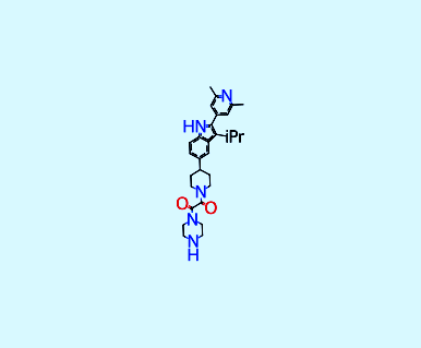 Cc1cc(-c2[nH]c3ccc(C4CCN(C(=O)C(=O)N5CCNCC5)CC4)cc3c2C(C)C)cc(C)n1